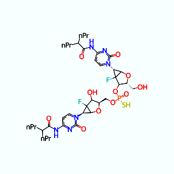 CCCC(CCC)C(=O)Nc1ccn([C@@H]2C3O[C@H](COP(=O)(S)OC4[C@@H](CO)OC5[C@@H](n6ccc(NC(=O)C(CCC)CCC)nc6=O)C45F)C(O)C32F)c(=O)n1